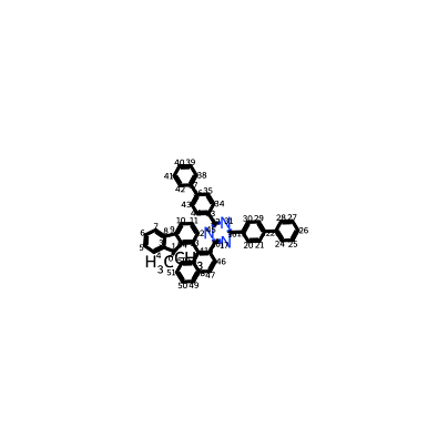 CC1(C)c2ccccc2-c2cccc(-c3c(-c4nc(-c5ccc(-c6ccccc6)cc5)nc(-c5ccc(-c6ccccc6)cc5)n4)ccc4ccccc34)c21